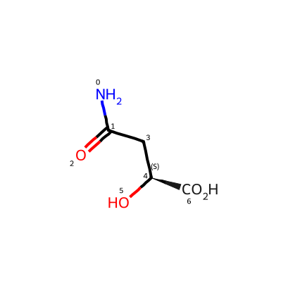 NC(=O)C[C@H](O)C(=O)O